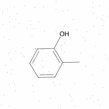 Cc1ccc[c]c1O